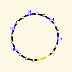 C1CNCCNCCNCCNCCNCCSSC1